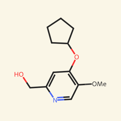 COc1cnc(CO)cc1OC1CCCC1